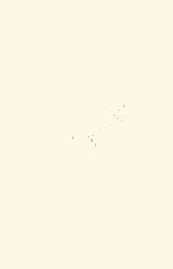 Cc1cccc(N(c2ccc(/C=C/c3ccc(N(c4ccccc4)c4ccc5ccccc5c4)cc3)cc2)c2cccc3ccccc23)c1